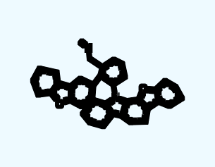 C=NCc1cccc(-n2c3ccccc3c3ccc4c5ccccc5oc4c32)c1-c1ccc2oc3ccccc3c2c1